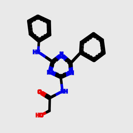 O=C(CO)Nc1nc(Nc2ccccc2)nc(-c2ccccc2)n1